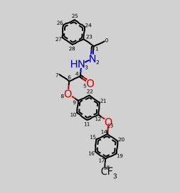 CC(=NNC(=O)C(C)Oc1ccc(Oc2ccc(C(F)(F)F)cc2)cc1)c1ccccc1